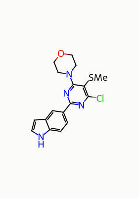 CSc1c(Cl)nc(-c2ccc3[nH]ccc3c2)nc1N1CCOCC1